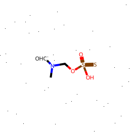 CN(C=O)COS(=O)(O)=S